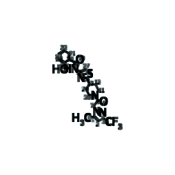 Cc1cc(C(F)(F)F)nn1CC(=O)N1CCC(c2nc(NC(=O)c3ccccc3O)cs2)CC1